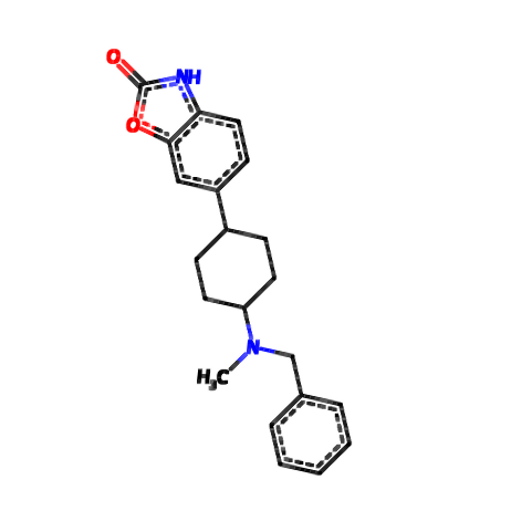 CN(Cc1ccccc1)C1CCC(c2ccc3[nH]c(=O)oc3c2)CC1